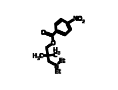 CCN(CC)CC(C)(C)COC(=O)c1ccc([N+](=O)[O-])cc1